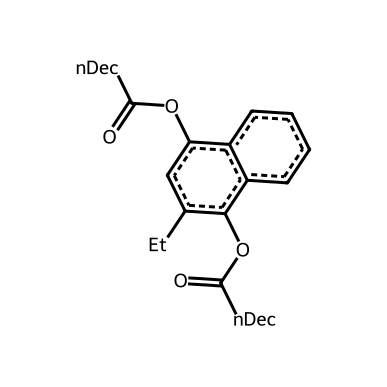 CCCCCCCCCCC(=O)Oc1cc(CC)c(OC(=O)CCCCCCCCCC)c2ccccc12